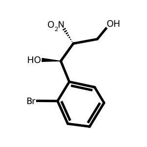 O=[N+]([O-])[C@H](CO)[C@H](O)c1ccccc1Br